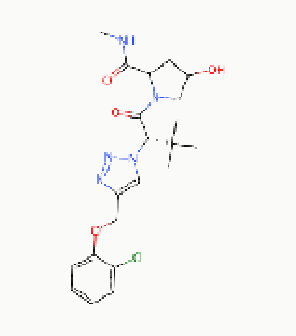 CNC(=O)C1CC(O)CN1C(=O)[C@@H](n1cc(COc2ccccc2Cl)nn1)C(C)(C)C